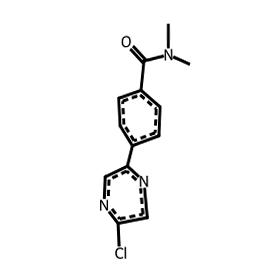 CN(C)C(=O)c1ccc(-c2cnc(Cl)cn2)cc1